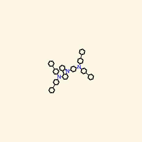 c1ccc(-c2ccc(N(c3ccc(-c4ccccc4)cc3)c3ccc(-n4c5ccccc5c5c(N(c6ccc(-c7ccccc7)cc6)c6ccc(-c7ccccc7)cc6)cccc54)cc3)cc2)cc1